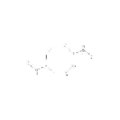 CBC1CCCC(BC)CCC1